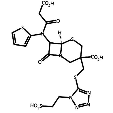 O=C(O)CC(=O)N(c1cccs1)C1C(=O)N2CC(CSc3nnnn3CCS(=O)(=O)O)(C(=O)O)CS[C@H]12